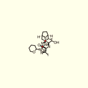 O=C(O)N[C@H]1C[C@H]2CC[C@@H]([C@H]1F)N2c1nc2c(nc1CO)c(I)nn2C1CCCCO1